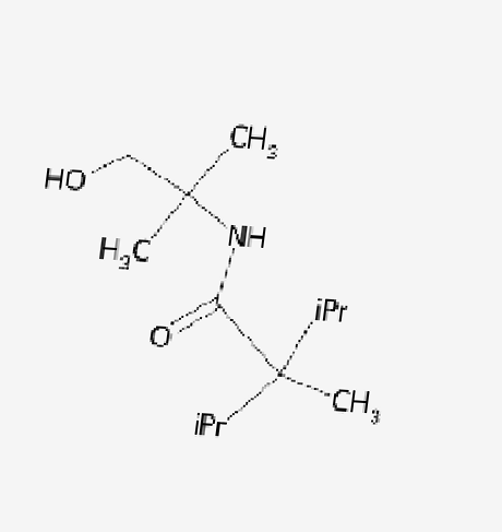 CC(C)C(C)(C(=O)NC(C)(C)CO)C(C)C